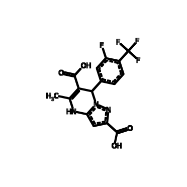 CC1=C(C(=O)O)C(c2ccc(C(F)(F)F)c(F)c2)n2nc(C(=O)O)cc2N1